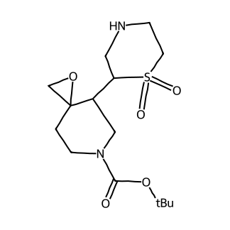 CC(C)(C)OC(=O)N1CCC2(CO2)C(C2CNCCS2(=O)=O)C1